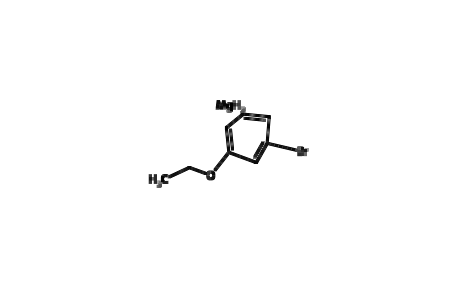 CCOc1cccc(Br)c1.[MgH2]